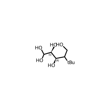 CC(C)(C)C(CO)[C@@H](O)[C@H](O)C(O)O